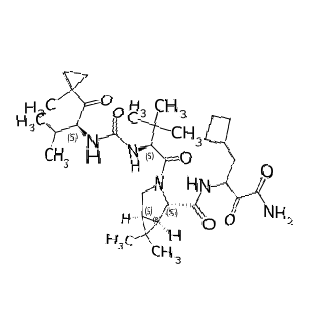 CC(C)[C@H](NC(=O)N[C@H](C(=O)N1C[C@H]2[C@@H]([C@H]1C(=O)NC(CC1CCC1)C(=O)C(N)=O)C2(C)C)C(C)(C)C)C(=O)C1(C)CC1